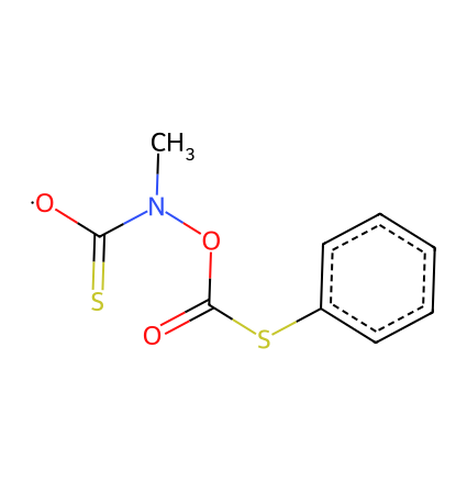 CN(OC(=O)Sc1ccccc1)C([O])=S